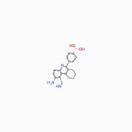 N=Cc1c(N)ccc2nc(-c3ccc(B(O)O)cc3)c3c(c12)CCCC3